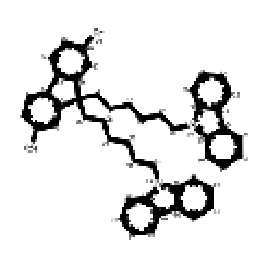 Brc1ccc2c(c1)C(CCCCCCn1c3ccccc3c3ccccc31)(CCCCCCn1c3ccccc3c3ccccc31)c1cc(Br)ccc1-2